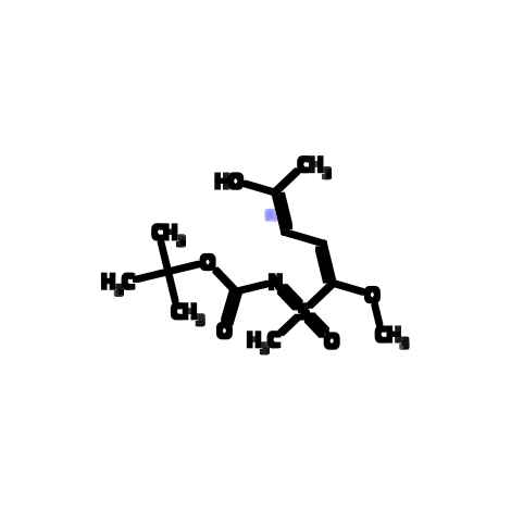 COC(=C/C=C(\C)O)S(C)(=O)=NC(=O)OC(C)(C)C